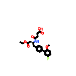 CCOC(=O)C[C@@H](Cc1ccc(-c2cc(F)ccc2OC)cc1)NC(=O)CCC(=O)O